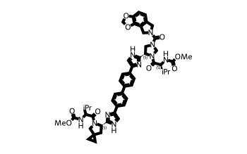 COC(=O)NC(C(=O)N1CC2(CC2)C[C@H]1c1nc(-c2ccc(-c3ccc(-c4c[nH]c([C@@H]5CN(C(=O)N6Cc7ccc8c(c7C6)OCO8)CN5C(=O)[C@@H](NC(=O)OC)C(C)C)n4)cc3)cc2)c[nH]1)C(C)C